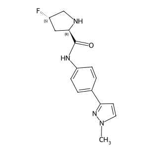 Cn1ccc(-c2ccc(NC(=O)[C@H]3C[C@H](F)CN3)cc2)n1